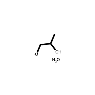 CC(O)C[O].O